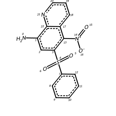 Nc1cc(S(=O)(=O)c2ccccc2)c([N+](=O)[O-])c2cccnc12